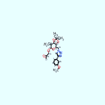 COc1cccc(-c2cn(CC3OC(OCC4CO4)C(C)C4OC(C)(C)OC34)nn2)c1